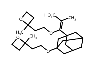 CC(C(=O)O)=C(OCCC1(C)CCO1)C12CC3CC(CC(OCCC4(C)CCO4)(C3)C1)C2